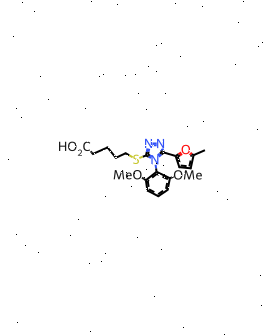 COc1cccc(OC)c1-n1c(SCCCCC(=O)O)nnc1-c1ccc(C)o1